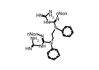 CCCCCCCCCN=C(NC(=N)N)N(CCN(C(=NCCCCCCCCC)NC(=N)N)c1ccccc1)c1ccccc1